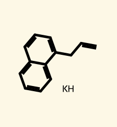 C=CCc1cccc2ccccc12.[KH]